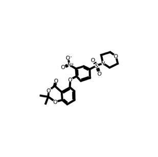 CC1(C)OC(=O)c2c(Oc3ccc(S(=O)(=O)N4CCOCC4)cc3[N+](=O)[O-])cccc2O1